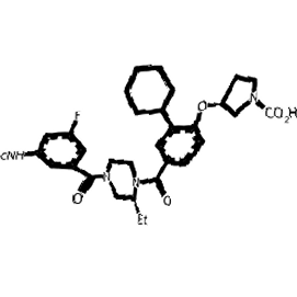 CC[C@H]1CN(C(=O)c2cc(F)cc(NC(C)=O)c2)CCN1C(=O)c1ccc(O[C@H]2CCN(C(=O)O)C2)c(C2CCCCC2)c1